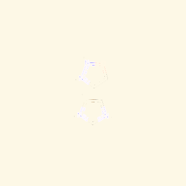 c1conn1.c1ncsn1